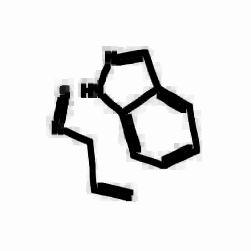 C=CCN=S.c1ccc2[nH]ncc2c1